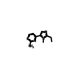 CCc1ncc(-c2ccnc(N)n2)n1C